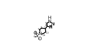 CS(=O)(=O)N1CCC(C2CNN=N2)CC1